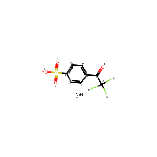 O=C(c1ccc(S(=O)(=O)O)cc1)C(F)(F)F.[NaH]